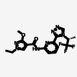 CCn1cc(C(=O)Nc2cccc(-c3nncn3[C@H](C)C(F)(F)F)n2)c(OC)n1